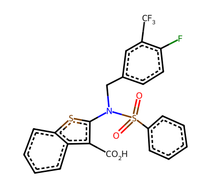 O=C(O)c1c(N(Cc2ccc(F)c(C(F)(F)F)c2)S(=O)(=O)c2ccccc2)sc2ccccc12